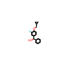 OC(c1ccccc1)c1ccc(OCC2CC2)c(F)c1